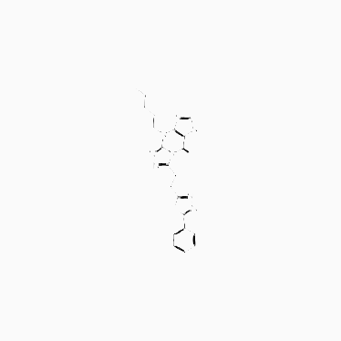 CCCCCn1c2nc[nH]c2c(=O)n2c(CCc3nnc(-c4ccccc4)o3)nnc12